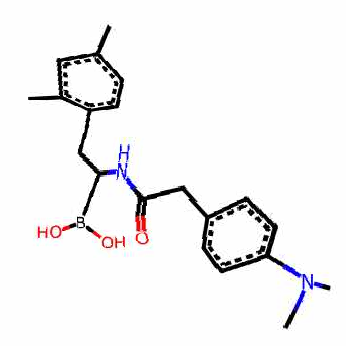 Cc1ccc(CC(NC(=O)Cc2ccc(N(C)C)cc2)B(O)O)c(C)c1